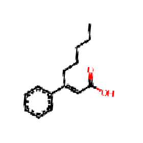 CCCCC/C(=C\C(=O)O)c1ccccc1